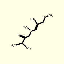 CNC/C(N)=C/N(N)CC(=O)C(C)C